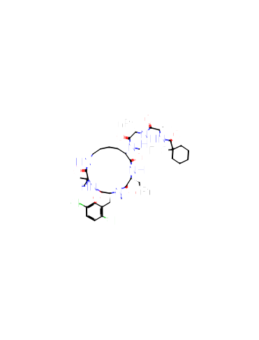 CCC[C@H](NC(=O)[C@H](CC)NC(=O)C1(C(F)(F)F)CCCCC1)C(=O)N(C)[C@H]1CCCCNC(=O)C(C)(C)NC(=O)[C@H](Cc2cc(Cl)ccc2Cl)N(C)C(=O)[C@H](CC(C)C)NC1=O